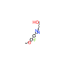 C=CCOc1ccc(-c2ccc(-c3cnc(/C=C/CCCC(C)O)nc3)cc2)c(F)c1